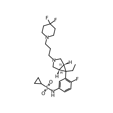 CCC1(c2cc(NS(=O)(=O)C3CC3)ccc2F)[C@@H]2CN(CCCN3CCC(F)(F)CC3)C[C@@H]21